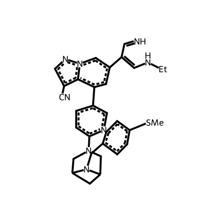 CCN/C=C(\C=N)c1cc(-c2ccc(N3CC4CC(C3)N4Cc3ccc(SC)cc3)nc2)c2c(C#N)cnn2c1